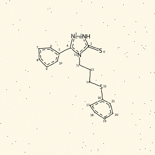 S=c1[nH]nc(-c2ccccc2)n1CCCSc1ccccc1